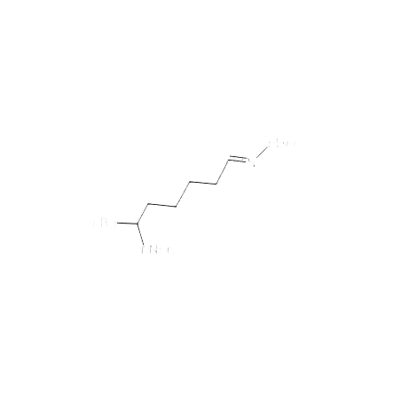 CCCCCCCCCCN=CCCCCC(CCCC)CCCCCCCCC